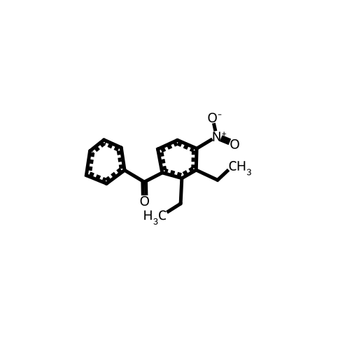 CCc1c(C(=O)c2ccccc2)ccc([N+](=O)[O-])c1CC